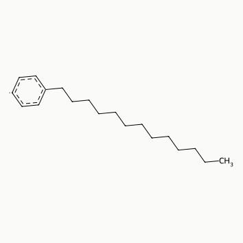 CCCCCCCCCCCCCc1cc[c]cc1